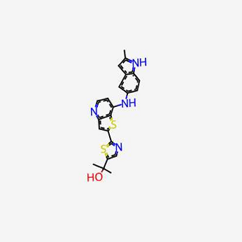 Cc1cc2cc(Nc3ccnc4cc(-c5ncc(C(C)(C)O)s5)sc34)ccc2[nH]1